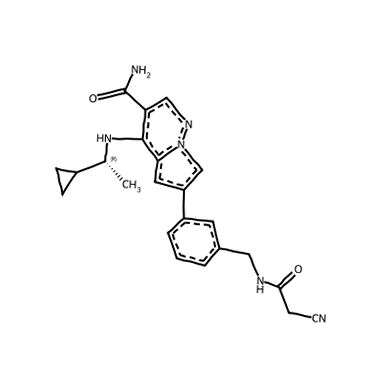 C[C@@H](Nc1c(C(N)=O)cnn2cc(-c3cccc(CNC(=O)CC#N)c3)cc12)C1CC1